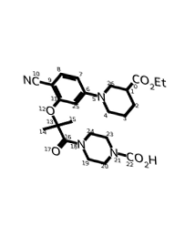 CCOC(=O)C1CCCN(c2ccc(C#N)c(OC(C)(C)C(=O)N3CCN(C(=O)O)CC3)c2)C1